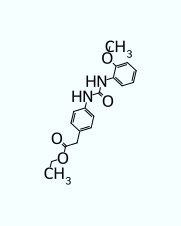 CCOC(=O)Cc1ccc(NC(=O)Nc2ccccc2OC)cc1